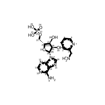 NCc1ccccn1.Nc1ncnc2c1ncn2[C@@H]1O[C@H](COP(=O)(O)O)[C@@H](O)[C@H]1O